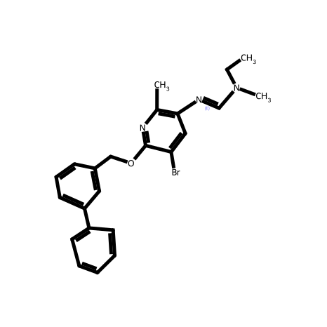 CCN(C)/C=N/c1cc(Br)c(OCc2cccc(-c3ccccc3)c2)nc1C